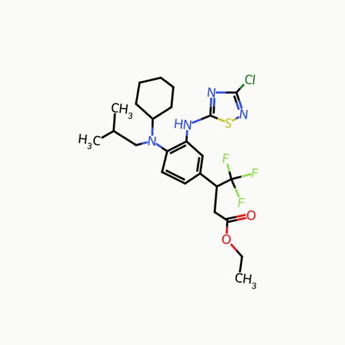 CCOC(=O)CC(c1ccc(N(CC(C)C)C2CCCCC2)c(Nc2nc(Cl)ns2)c1)C(F)(F)F